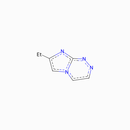 CCc1cn2ccnnc2n1